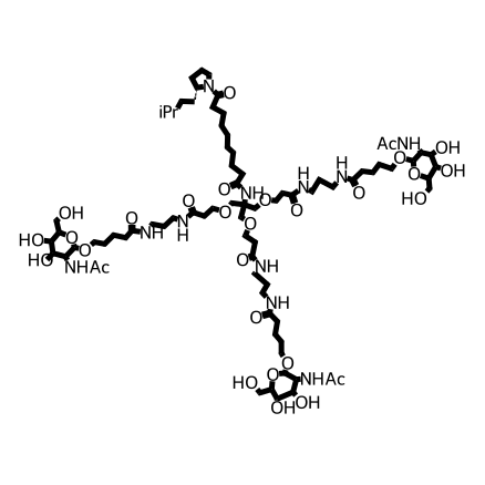 CC(=O)NC1C(OCCCCC(=O)NCCCNC(=O)CCOCC(COCCC(=O)NCCCNC(=O)CCCCOC2OC(CO)C(O)C(O)C2NC(C)=O)(COCCC(=O)NCCCNC(=O)CCCCOC2OC(CO)C(O)C(O)C2NC(C)=O)NC(=O)CCCCCCCCC(=O)N2CCC[C@H]2CCC(C)C)OC(CO)C(O)C1O